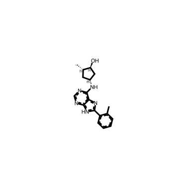 [CH2][C@H]1C[C@@H](Nc2ncnc3[nH]c(-c4ccccc4C)nc23)C[C@@H]1O